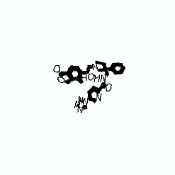 Cc1c([C@@H](O)CN2CCC(CNC(=O)c3ccc(-n4cnnn4)cn3)(c3ccccc3)C2)ccc2c1COC2=O